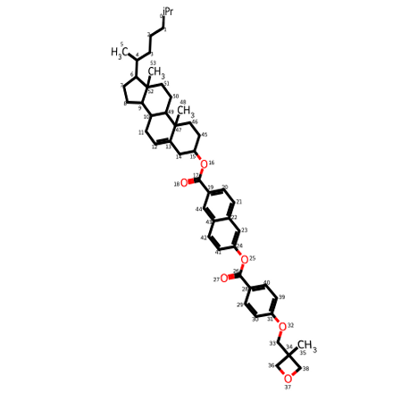 CC(C)CCCC(C)C1CCC2C3CC=C4CC(OC(=O)c5ccc6cc(OC(=O)c7ccc(OCC8(C)COC8)cc7)ccc6c5)CCC4(C)C3CCC12C